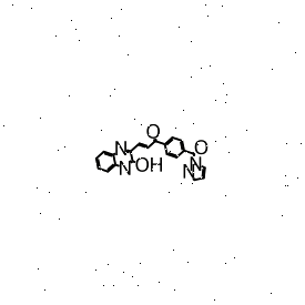 O=C(C=Cc1nc2ccccc2nc1O)c1ccc(C(=O)n2cccn2)cc1